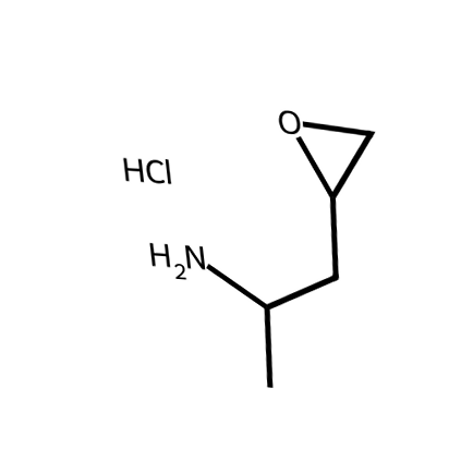 CC(N)CC1CO1.Cl